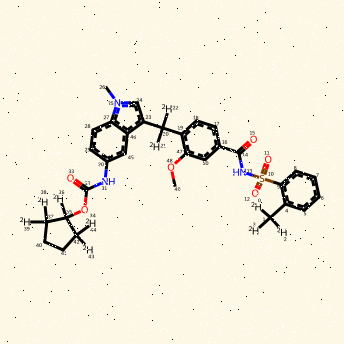 [2H]C([2H])([2H])c1ccccc1S(=O)(=O)NC(=O)c1ccc(C([2H])([2H])c2cn(C)c3ccc(NC(=O)OC4([2H])C([2H])([2H])CCC4([2H])[2H])cc23)c(OC)c1